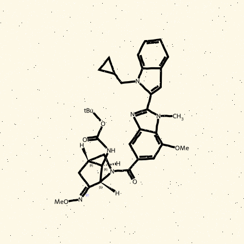 CO/N=C1\C[C@@H]2CN(C(=O)c3cc(OC)c4c(c3)nc(-c3cc5ccccc5n3CC3CC3)n4C)[C@H]1[C@@H]2NC(=O)OC(C)(C)C